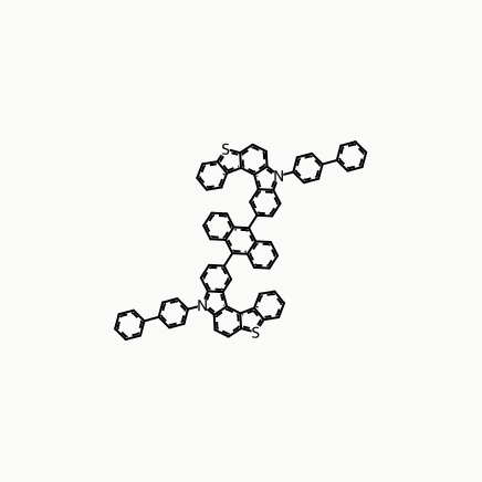 c1ccc(-c2ccc(-n3c4ccc(-c5c6ccccc6c(-c6ccc7c(c6)c6c8c(ccc6n7-c6ccc(-c7ccccc7)cc6)sc6ccccc68)c6ccccc56)cc4c4c5c(ccc43)sc3ccccc35)cc2)cc1